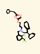 FC(F)(F)c1cccc(CN(CCCOC2=COC(Cc3ccccc3)O2)CC(c2ccccc2)c2ccccc2)c1Cl